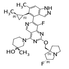 Cc1cc2[nH]ncc2c(-c2ncc3c(N4CCC[C@@](C)(O)C4)nc(OC[C@@]45CCCN4C[C@H](F)C5)nc3c2F)c1[C@H]1C[C@H]1C